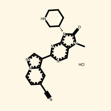 Cl.Cn1c(=O)n([C@H]2CCCNC2)c2nc(-c3cnn4ccc(C#N)cc34)ncc21